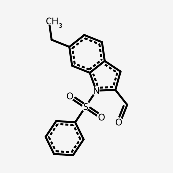 CCc1ccc2cc(C=O)n(S(=O)(=O)c3ccccc3)c2c1